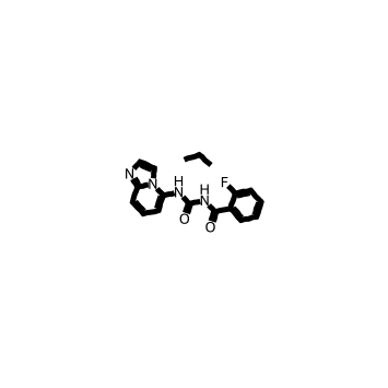 CCC.O=C(NC(=O)c1ccccc1F)Nc1cccc2nccn12